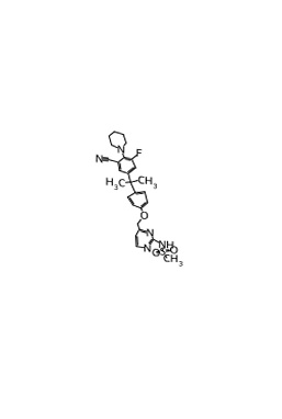 CC(C)(c1ccc(OCc2ccnc(NS(C)(=O)=O)n2)cc1)c1cc(F)c(N2CCCCC2)c(C#N)c1